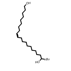 CCCCC(O)CCCCCCCCC/C=C\CCCCCCCCO